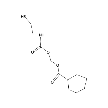 O=C(NCCS)OCOC(=O)C1CCCCC1